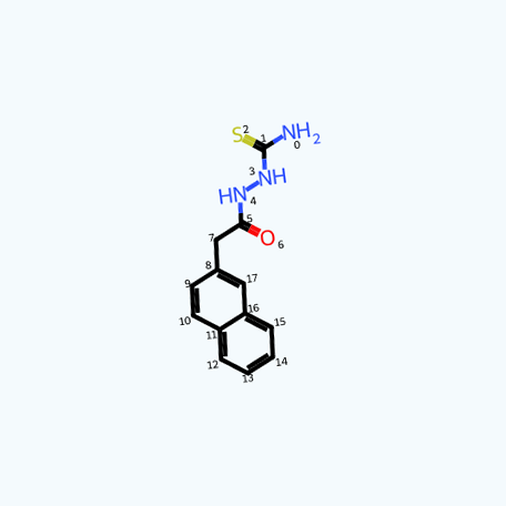 NC(=S)NNC(=O)Cc1ccc2ccccc2c1